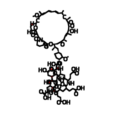 CO[C@H]1C[C@@H]2CC[C@@H](C)[C@@](O)(O2)C(=O)C(=O)N2CCCC[C@H]2C(=O)O[C@H]([C@H](C)C[C@@H]2CC[C@@H](OCNC(=O)CCC(=O)NC(CCC(=O)O)C(=O)NC(CCC(=O)O)C(=O)CC(CCC(=O)O)C(=O)NC(CCC(=O)O)C(=O)CC(CCC(=O)O)C(=O)NC(CCC(=O)O)C(=O)CCC(=O)O)[C@H](OC)C2)CC(=O)[C@H](C)/C=C(\C)[C@@H](O)[C@@H](OC)C(=O)[C@H](C)C[C@H](C)/C=C/C=C/C=C/1C